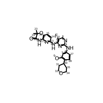 COc1cc(Nc2ncc(F)c(Nc3ccc4c(n3)NC(=O)C(C)(C)O4)n2)ccc1C1CCOCC1